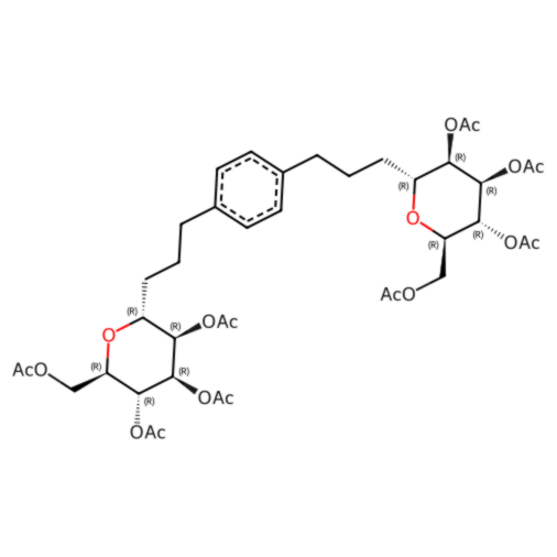 CC(=O)OC[C@H]1O[C@H](CCCc2ccc(CCC[C@H]3O[C@H](COC(C)=O)[C@@H](OC(C)=O)[C@H](OC(C)=O)[C@@H]3OC(C)=O)cc2)[C@@H](OC(C)=O)[C@@H](OC(C)=O)[C@@H]1OC(C)=O